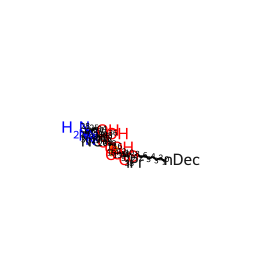 CCCCCCCCCCCCCCCCCCOC[C@H](COP(=O)(O)OC[C@H]1O[C@@](C#N)(c2ccc3c(N)ncnn23)[C@H](O)[C@@H]1O)OC(C)C